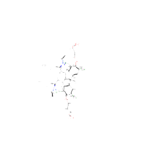 C=CN=C(CCC(CCC(=NC=C)C(=O)O)C(C)(c1cc(Br)c(OCCCO)c(Br)c1)c1cc(Br)c(OCCCO)c(Br)c1)C(=O)O